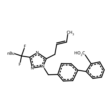 CC=CCc1nc(C(F)(F)CCCC)nn1Cc1ccc(-c2ccccc2C(=O)O)cc1